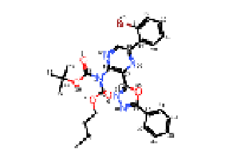 CCCCOC(=O)N(C(=O)OC(C)(C)C)c1ncc(-c2ccccc2Br)nc1-c1nnc(-c2ccccc2)o1